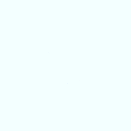 CC1(C)CCn2cc(C3=C(c4c[nH]c5cc(Br)ccc45)C(=O)NC3=O)c3cc(F)cc1c32